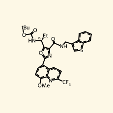 CC[C@H](NC(=O)OC(C)(C)C)c1oc(-c2ccc(OC)c3nc(C(F)(F)F)ccc23)nc1C(=O)NCc1csc2ccccc12